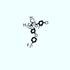 CC(SCc1ccc(Cl)cc1)C(C)(Oc1ccc(Oc2ccc(C(F)(F)F)cc2)cc1)C(=O)O